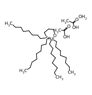 CC(=O)O.CC(=O)O.CCCCCCC[CH2][Sn]1([CH2]CCCCCCC)[CH2]CC[O][Sn]1([CH2]CCCCCCC)[CH2]CCCCCCC.O